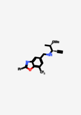 C#C[C@H](NCc1cc(C(F)(F)F)c2oc(C(C)C)nc2c1)[C@H](C)OC